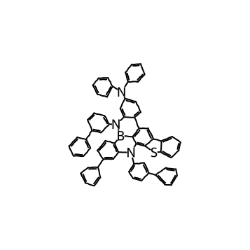 c1ccc(-c2cccc(N3B4c5ccc(-c6ccccc6)cc5N(c5cccc(-c6ccccc6)c5)c5c4c(cc4c5sc5ccccc54)-c4ccc(N(c5ccccc5)c5ccccc5)cc43)c2)cc1